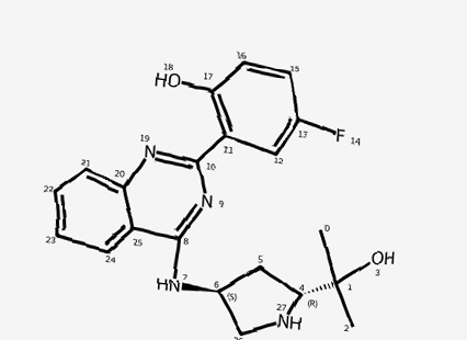 CC(C)(O)[C@H]1C[C@H](Nc2nc(-c3cc(F)ccc3O)nc3ccccc23)CN1